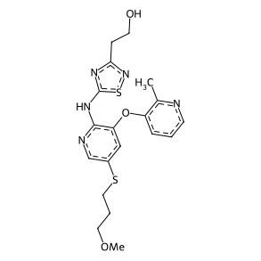 COCCCSc1cnc(Nc2nc(CCO)ns2)c(Oc2cccnc2C)c1